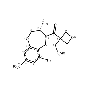 COCC1(C(=O)N2Cc3c(F)cc(C(=O)O)cc3OC[C@@H]2C)COC1